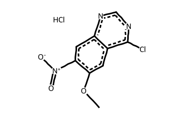 COc1cc2c(Cl)ncnc2cc1[N+](=O)[O-].Cl